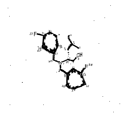 CC(C)C[C@H](CO)N(Cc1cccc(F)c1)Cc1cccc(F)c1